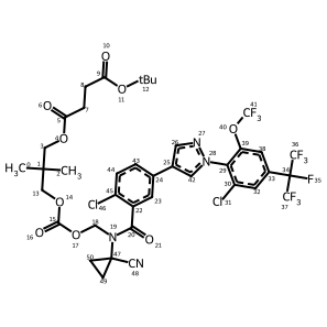 CC(C)(COC(=O)CCC(=O)OC(C)(C)C)COC(=O)OCN(C(=O)c1cc(-c2cnn(-c3c(Cl)cc(C(F)(C(F)(F)F)C(F)(F)F)cc3OC(F)(F)F)c2)ccc1Cl)C1(C#N)CC1